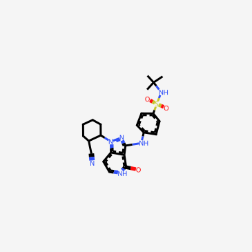 CC(C)(C)NS(=O)(=O)c1ccc(Nc2nn(C3CCCCC3C#N)c3cc[nH]c(=O)c23)cc1